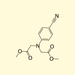 COC(=O)CN(CC(=O)OC)c1ccc(C#N)cc1